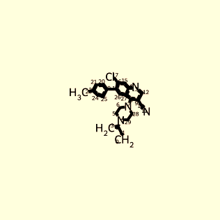 C=CC(=C)N1CCN(c2c(C#N)cnc3cc(Cl)c(-c4ccc(C)cc4)cc23)CC1